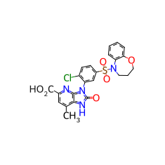 Cc1cc(C(=O)O)nc2c1[nH]c(=O)n2-c1cc(S(=O)(=O)N2CCCOc3ccccc32)ccc1Cl